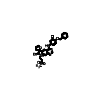 CCC(NCCS(C)(=O)=O)C1(c2ccc3ncnc(Nc4ccc(OCc5ccccc5)c(Cl)c4)c3c2)CC=CO1